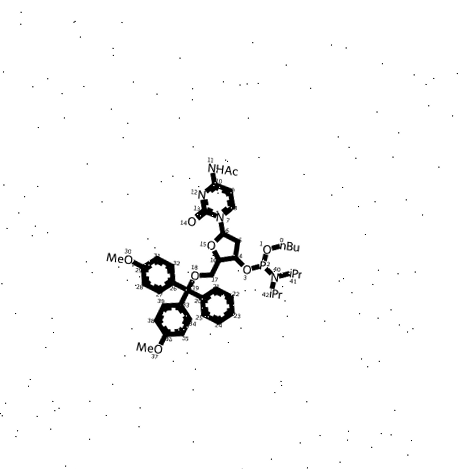 CCCCOP(OC1CC(n2ccc(NC(C)=O)nc2=O)OC1COC(c1ccccc1)(c1ccc(OC)cc1)c1ccc(OC)cc1)N(C(C)C)C(C)C